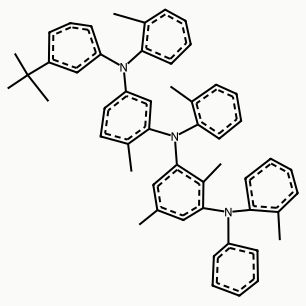 Cc1cc(N(c2ccccc2)c2ccccc2C)c(C)c(N(c2ccccc2C)c2cc(N(c3cccc(C(C)(C)C)c3)c3ccccc3C)ccc2C)c1